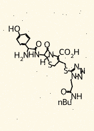 CCCCNC(=O)CCn1nnnc1SCC1=C(C(=O)O)N2C(=O)C(NC(=O)C(N)c3ccc(O)cc3)[C@H]2SC1